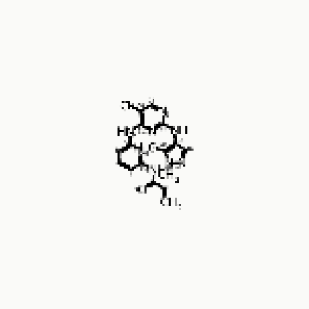 C=CC(=O)Nc1cccc(Nc2nc(Nc3cnn(C)c3C)ncc2Cl)n1